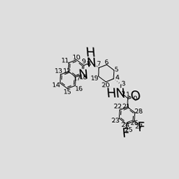 O=C(NC[C@H]1CC[C@@H](Nc2ccc3ccccc3n2)CC1)c1ccc(F)c(F)c1